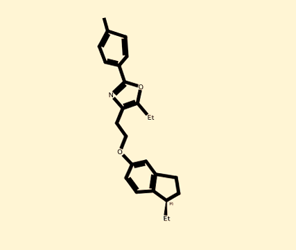 CCc1oc(-c2ccc(C)cc2)nc1CCOc1ccc2c(c1)CC[C@H]2CC